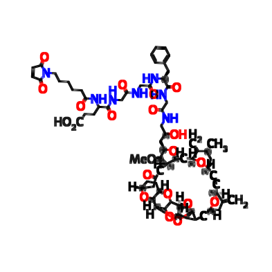 C=C1C[C@@H]2CC3C4[C@H]5OC6C7O[C@H]8CC[C@H](CC(=O)C[C@@H]9[C@@H](OC)[C@@H](C[C@H](O)CNC(=O)CNC(=O)[C@H](Cc%10ccccc%10)NC(=O)CNC(=O)CNC(=O)C(CCC(=O)O)NC(=O)CCCCCN%10C(=O)C=CC%10=O)O[C@H]9C[C@H]9O[C@@H](CC[C@@H]1O2)C[C@@H](C)C9=C)O[C@@H]8[C@@H]6O[C@@]34O[C@H]75